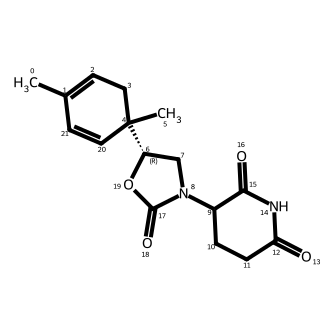 CC1=CCC(C)([C@@H]2CN(C3CCC(=O)NC3=O)C(=O)O2)C=C1